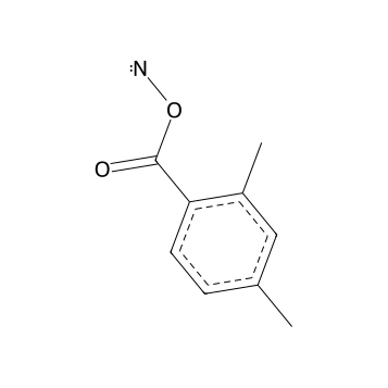 Cc1ccc(C(=O)O[N])c(C)c1